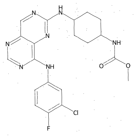 COC(=O)NC1CCC(Nc2ncc3ncnc(Nc4ccc(F)c(Cl)c4)c3n2)CC1